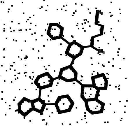 C=C/C=C\C=C(/C)c1cc(-c2cc(-c3cccc(-c4c(-c5ccccc5)nc5ccccn45)c3)cc(-c3cc4ccccc4c4ccccc34)c2)cc(-c2ccccc2)n1